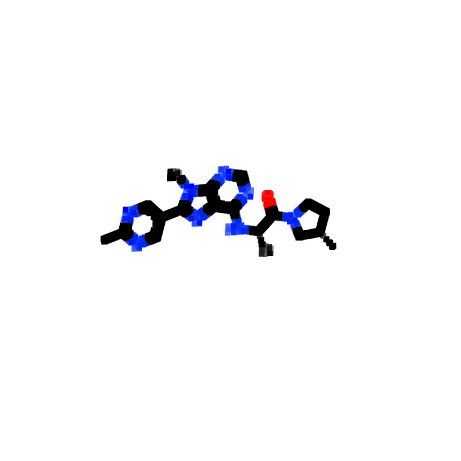 CC[C@H](Nc1ncnc2c1nc(-c1cnc(C)nc1)n2CC)C(=O)N1CC[C@H](C)C1